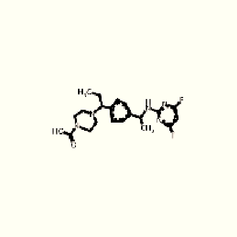 CCC(c1ccc(C(C)Nc2nc(F)cc(F)n2)cc1)N1CCN(C(=O)O)CC1